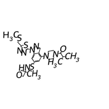 CSCc1nnc(-n2ncc3c(N4CCN(C(=O)C(C)C)CC4)cc(SNC4(C)COC4)cc32)s1